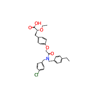 CCO[C@@H](Cc1ccc(OCC(=O)N(Cc2ccc(Cl)cc2)Cc2ccc(CC)cc2)cc1)C(=O)O